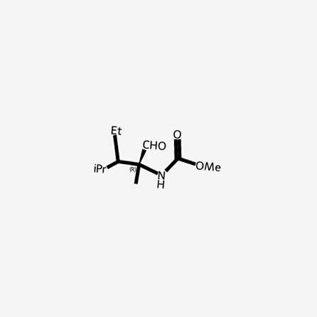 CCC(C(C)C)[C@](C)(C=O)NC(=O)OC